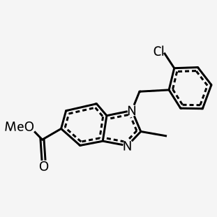 COC(=O)c1ccc2c(c1)nc(C)n2Cc1ccccc1Cl